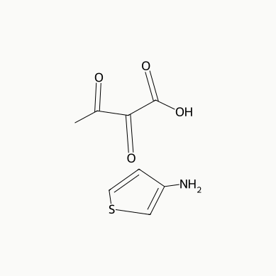 CC(=O)C(=O)C(=O)O.Nc1ccsc1